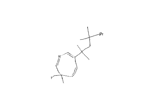 CC(C)C(C)(C)CC(C)(C)C1=CN=CC(C)(I)C=C1